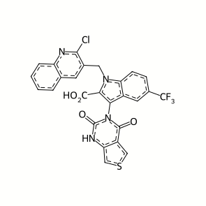 O=C(O)c1c(-n2c(=O)[nH]c3cscc3c2=O)c2cc(C(F)(F)F)ccc2n1Cc1cc2ccccc2nc1Cl